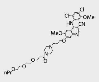 CCCOCCOCCOCCC(=O)N1CCN(CCCOc2cc3ncc(C#N)c(Nc4cc(OC)c(Cl)cc4Cl)c3cc2OC)CC1